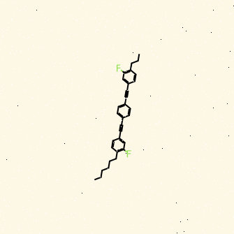 CCCCCCc1ccc(C#Cc2ccc(C#Cc3ccc(CCC)c(F)c3)cc2)cc1F